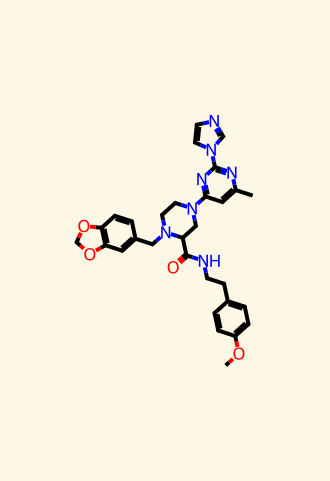 COc1ccc(CCNC(=O)C2CN(c3cc(C)nc(-n4ccnc4)n3)CCN2Cc2ccc3c(c2)OCO3)cc1